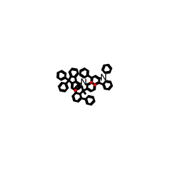 CC1(c2ccccc2N(c2ccccc2-c2ccc3c4ccccc4n(-c4ccccc4)c3c2)c2cccc3c2-c2ccccc2C3(c2ccccc2)c2ccccc2)C=CC=C2C=CC=C(c3ccccc3)C21